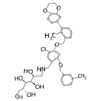 Cc1cccc(COc2cc(OCc3cccc(-c4ccc5c(c4)OCCO5)c3C)c(Cl)cc2CNC[C@H](O)[C@@H](O)[C@H](O)[C@H](O)CO)c1